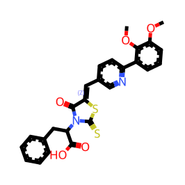 COc1cccc(-c2ccc(/C=C3\SC(=S)N(C(Cc4ccccc4)C(=O)O)C3=O)cn2)c1OC